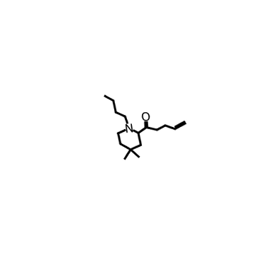 C=CCCC(=O)C1CC(C)(C)CCN1CCCC